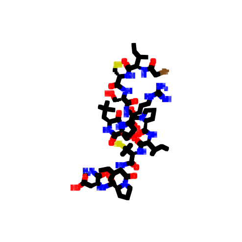 CCC(C)[C@H](NC(=O)CBr)C(=O)N[C@@H](CS)C(=O)N[C@@H](CO)C(=O)N[C@@H](CCCNC(=N)N)C(=O)N[C@@H](CO)C(=O)N[C@@H](CC(C)(C)C)C(=O)N1CCC[C@H]1C(=O)N1CCC[C@H]1C(=O)N[C@H](C(=O)N[C@H](C(=O)N[C@H](C(=O)N1CCC[C@H]1C(=O)N[C@@H](CC(=O)O)C(N)=O)C(C)CC)C(C)(C)S)C(C)CC